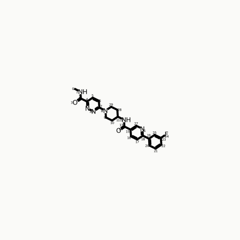 CNC(=O)c1ccc(N2CCC(NC(=O)c3ccc(-c4cccc(F)c4)nc3)CC2)nn1